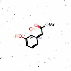 COC(=O)/C=C1/C=CC=C(O)[C@@H]1O